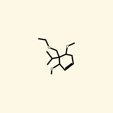 CCOCC1(C(C)C)[C](OC)CC=CC1OC